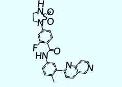 Cc1ccc(NC(=O)c2ccc(N3CCNS3(=O)=O)cc2F)cc1-c1ccc2cnccc2n1